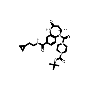 C[C@H]1CC(=O)Nc2cc(C(=O)NCCC3CC3)ccc2N1C(=O)N1CCN(C(=O)OC(C)(C)C)CC1